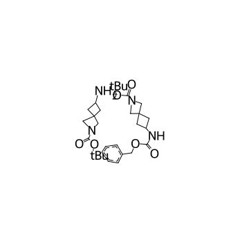 CC(C)(C)OC(=O)N1CC2(CC(N)C2)C1.CC(C)(C)OC(=O)N1CC2(CC(NC(=O)OCc3ccccc3)C2)C1